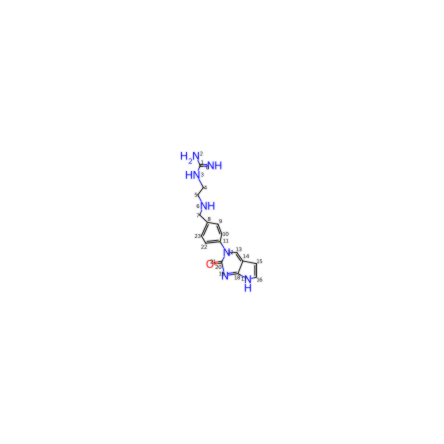 N=C(N)NCCNCc1ccc(-n2cc3cc[nH]c3nc2=O)cc1